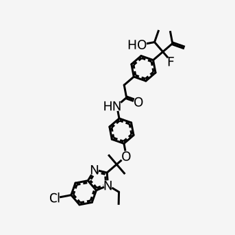 C=C(C)C(F)(c1ccc(CC(=O)Nc2ccc(OC(C)(C)c3nc4cc(Cl)ccc4n3CC)cc2)cc1)C(C)O